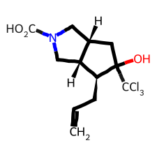 C=CC[C@H]1[C@@H]2CN(C(=O)O)C[C@@H]2CC1(O)C(Cl)(Cl)Cl